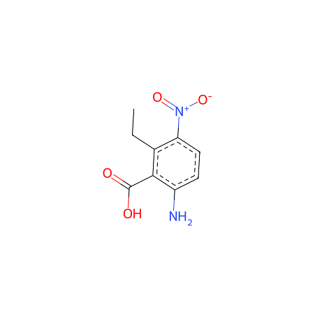 CCc1c([N+](=O)[O-])ccc(N)c1C(=O)O